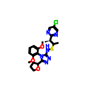 COc1cccc(OC)c1-n1c(NSC(C)[C@H](C)c2ncc(Cl)cn2)nnc1C1CCCO1